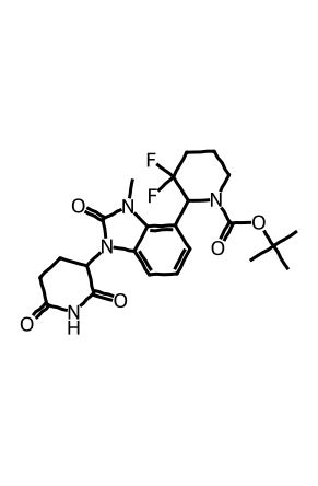 Cn1c(=O)n(C2CCC(=O)NC2=O)c2cccc(C3N(C(=O)OC(C)(C)C)CCCC3(F)F)c21